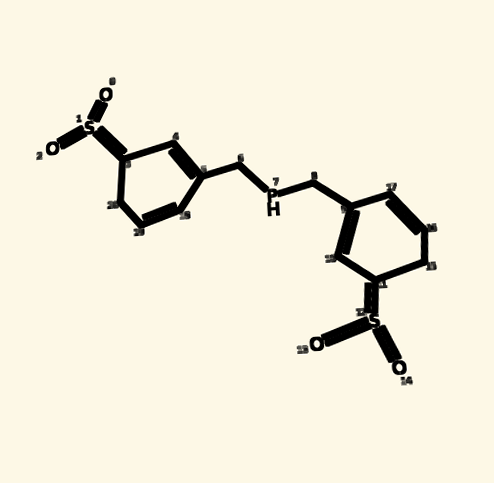 O=S(=O)=C1C=C(CPCC2=CC(=S(=O)=O)CC=C2)C=CC1